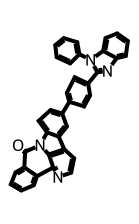 O=c1c2ccccc2c2nccc3c4cc(-c5ccc(-c6nc7ccccc7n6-c6ccccc6)cc5)ccc4n1c32